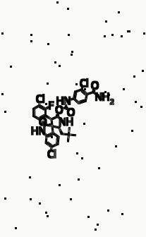 CC(C)(C)C[C@@H]1N[C@H](OC(=O)Nc2ccc(C(N)=O)c(Cl)c2)[C@H](c2cccc(Cl)c2F)[C@]12C(=O)Nc1cc(Cl)ccc12